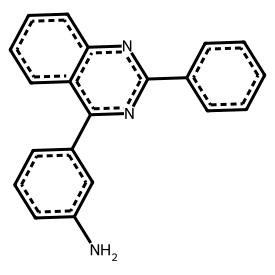 Nc1cccc(-c2nc(-c3ccccc3)nc3ccccc23)c1